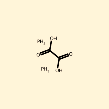 O=C(O)C(=O)O.P.P